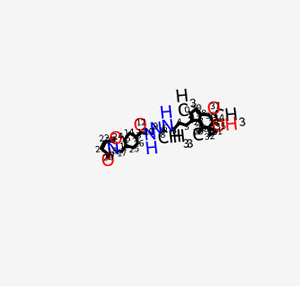 CC1=C(CCCN/C(C)=N/NC(=O)C2CCC(CN3C(=O)C=CC3=O)CC2)C2=C(C)C3(CC3)[C@@](C)(O)C(=O)C2=C1